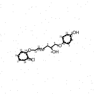 Oc1ccc(OCC(O)CNCCOc2ccccc2Cl)cc1